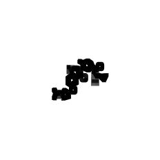 Cc1ccc(C(=O)NC2CC2)cc1-n1cnc2ccc(O[C@@H]3CCN(C(C)C)C3)cc2c1=O